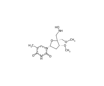 COC[C@@]1(CNO)O[C@@H](n2cc(C)c(=O)[nH]c2=O)C[C@H]1OC